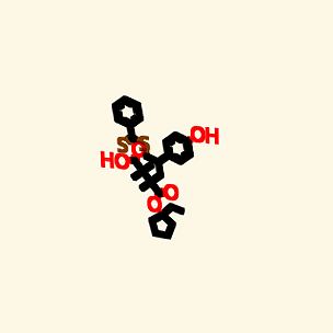 CCC1(OC(=O)C(C)(CC(CSC(=S)c2ccccc2)c2ccc(O)cc2)C(C)(C)C(=O)O)CCCC1